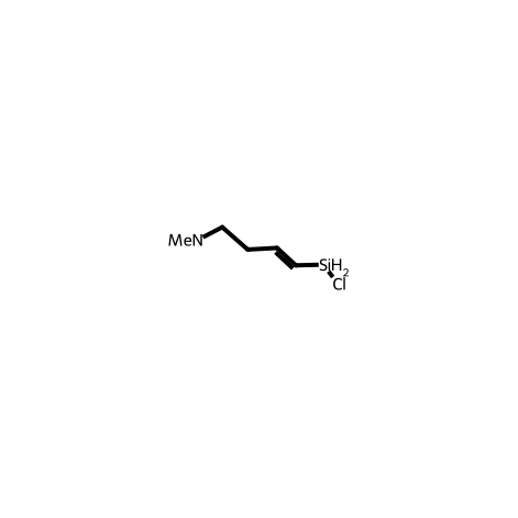 CNCCC=C[SiH2]Cl